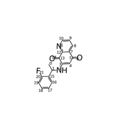 CC(NC1=CC(=O)c2cccnc2C1=O)c1ccccc1F